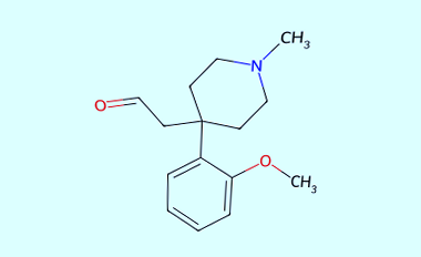 COc1ccccc1C1(CC=O)CCN(C)CC1